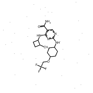 CC1CCC1Nc1nc(NC2CCC(OCC(F)(F)F)CC2)ncc1C(N)=O